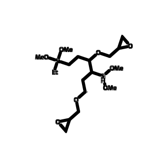 CC[Si](CCC(OCC1CO1)C(C[CH]OCC1CO1)[SiH](OC)OC)(OC)OC